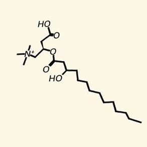 CCCCCCCCCCCC(O)CC(=O)O[C@H](CC(=O)O)C[N+](C)(C)C